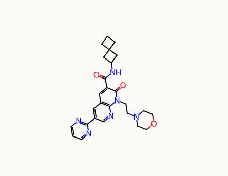 O=C(NC1CC2(CCC2)C1)c1cc2cc(-c3ncccn3)cnc2n(CCN2CCOCC2)c1=O